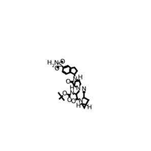 CC(C)(C)OC(=O)NC(CN1C[C@@H]2CC1C(=O)N2C1CCc2cc(S(N)(=O)=O)ccc21)C(=O)N1C(C#N)C[C@@H]2C[C@@H]21